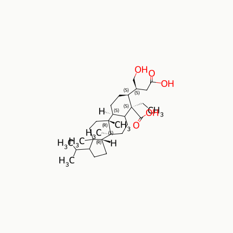 CC[C@]1(C(=O)O)C2CC[C@@]3(C)[C@@H]4CCC(C(C)C)C4(C)CC[C@]3(C)[C@H]2CC[C@H]1[C@@H](CO)CC(=O)O